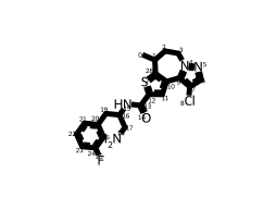 CC1CCn2ncc(Cl)c2-c2cc(C(=O)NC(CN)Cc3cccc(F)c3)sc21